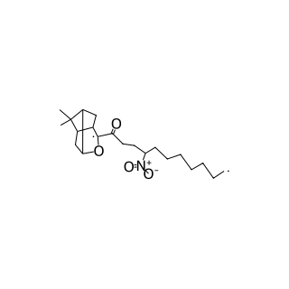 [CH2]CCCCCCC(CCC(=O)[C]1OC2CC3C1CC2C3(C)C)[N+](=O)[O-]